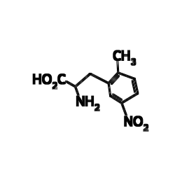 Cc1ccc([N+](=O)[O-])cc1CC(N)C(=O)O